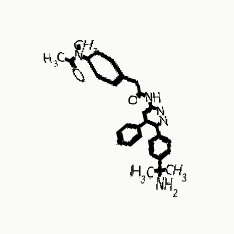 CC(=O)N(C)C1CCC(CC(=O)Nc2cc(-c3ccccc3)c(-c3ccc(C(C)(C)N)cc3)nn2)CC1